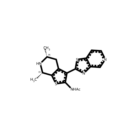 CC(=O)Nc1sc2c(c1-c1nc3cnccc3s1)C[C@@H](C)N[C@H]2C